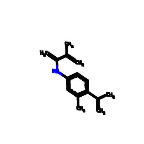 C=C(C)C(=C)Nc1ccc(C(=C)C)c(C)c1